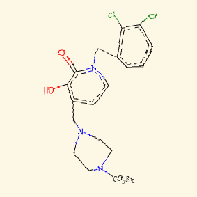 CCOC(=O)N1CCN(Cc2ccn(Cc3cccc(Cl)c3Cl)c(=O)c2O)CC1